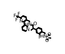 CC(C(=O)NCc1ccc(C(F)(F)F)nc1-c1cccnc1)c1ccc(CNS(C)(=O)=O)c(F)c1